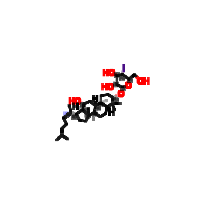 CC(C)=CC/C=C(/C)[C@H]1CC[C@]2(C)[C@@H]1[C@H](O)C[C@@H]1[C@@]3(C)CC[C@H](O[C@H]4O[C@H](CO)[C@@H](I)[C@H](O)[C@H]4O)C(C)(C)[C@@H]3CC[C@]12C